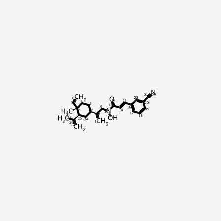 C=C[C@]1(C)CC[C@@H](C(=C)CN(O)C(=O)/C=C/c2cccc(C#N)c2)C[C@H]1C(=C)C